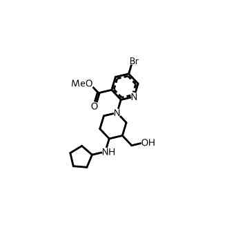 COC(=O)c1cc(Br)cnc1N1CCC(NC2CCCC2)C(CO)C1